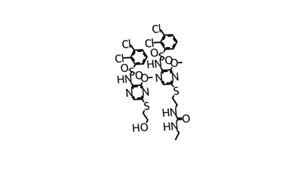 CCNC(=O)NCCSc1cnc(NS(=O)(=O)c2cccc(Cl)c2Cl)c(OC)n1.COc1nc(SCCO)cnc1NS(=O)(=O)c1cccc(Cl)c1Cl